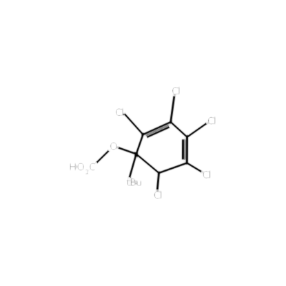 CC(C)(C)C1(OC(=O)O)C(Cl)=C(Cl)C(Cl)=C(Cl)C1Cl